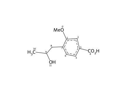 COc1cc(C(=O)O)ccc1CC(C)O